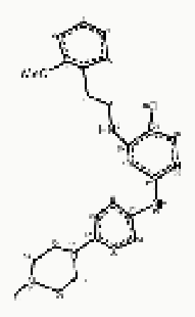 COc1ccccc1CCNc1nc(Nc2ccc(N3CCN(C)CC3)cc2)ncc1Cl